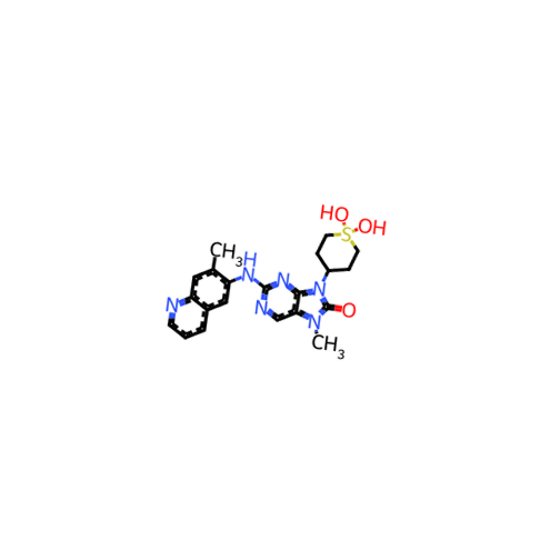 Cc1cc2ncccc2cc1Nc1ncc2c(n1)n(C1CCS(O)(O)CC1)c(=O)n2C